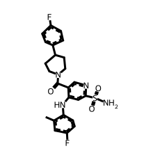 Cc1cc(F)ccc1Nc1cc(S(N)(=O)=O)ncc1C(=O)N1CCC(c2ccc(F)cc2)CC1